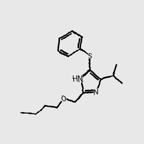 CCCCOCc1nc(C(C)C)c(Sc2ccccc2)[nH]1